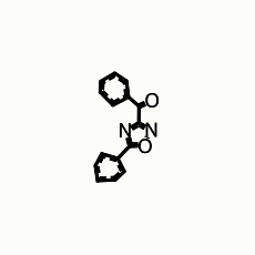 O=C(c1ccccc1)c1noc(-c2ccccc2)n1